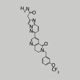 NC(=O)Cc1cn2nc(-c3cnc4c(c3)C(=O)N(Cc3cccc(OC(F)(F)F)c3)CC4)ccc2n1